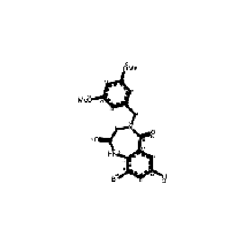 COc1cc(CN2CC(=O)Nc3c(Br)cc(Cl)cc3C2=O)cc(OC)c1